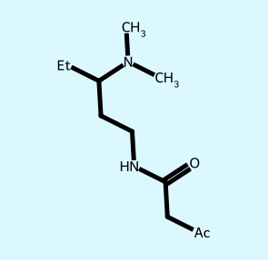 CCC(CCNC(=O)CC(C)=O)N(C)C